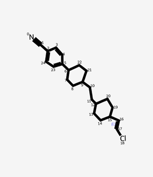 N#Cc1ccc(C2CCC(CCC3CCC(/C=C/Cl)CC3)CC2)cc1